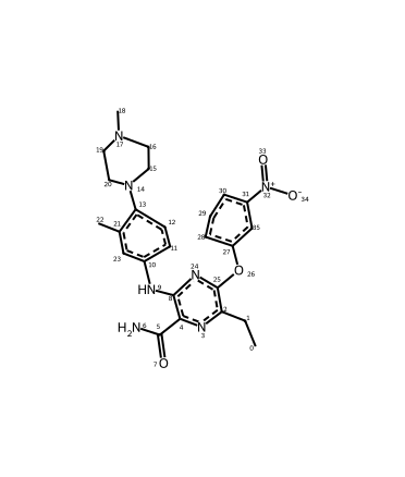 CCc1nc(C(N)=O)c(Nc2ccc(N3CCN(C)CC3)c(C)c2)nc1Oc1cccc([N+](=O)[O-])c1